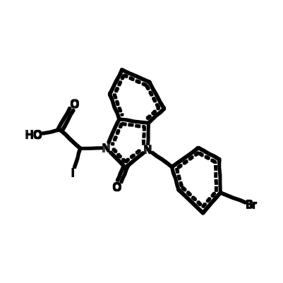 O=C(O)C(I)n1c(=O)n(-c2ccc(Br)cc2)c2ccccc21